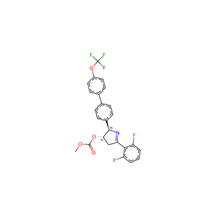 COC(=O)O[C@H]1CC(c2c(F)cccc2F)=N[C@@H]1c1ccc(-c2ccc(OC(F)(F)F)cc2)cc1